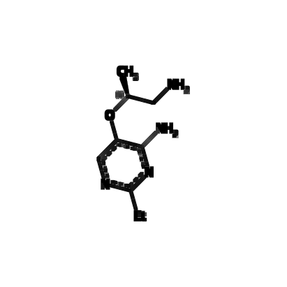 CCc1ncc(O[C@@H](C)CN)c(N)n1